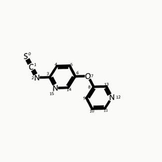 S=C=Nc1ccc(Oc2cccnc2)cn1